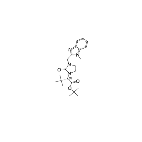 Cn1c(CN2CCN([C@H](C(=O)OC(C)(C)C)C(C)(C)C)C2=O)nc2ccccc21